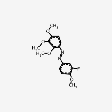 COc1ccc(N=Nc2ccc(OC)c(OC)c2OC)cc1F